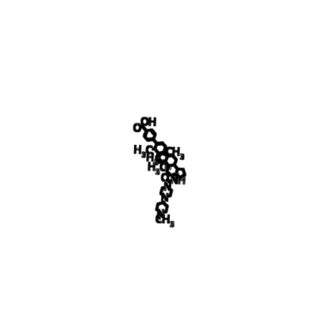 CC1C(c2ccc(C(=O)O)cc2)=CCC2(C)C1CCC1(C)C2CCC2C3CCC[C@]3(NC(=O)N3CCN(C4CCN(C)CC4)CC3)CC[C@]21C